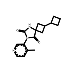 Cc1ccncc1N1C(=O)NC2(CC(C3CCC3)C2)C1=O